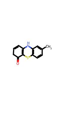 Cc1ccc2c(c1)NC1=C(S2)C(=O)CC=C1